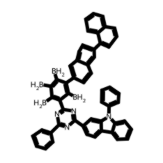 Bc1c(B)c(-c2ccc3cc(-c4cccc5ccccc45)ccc3c2)c(B)c(-c2nc(-c3ccccc3)nc(-c3ccc4c5ccccc5n(-c5ccccc5)c4c3)n2)c1B